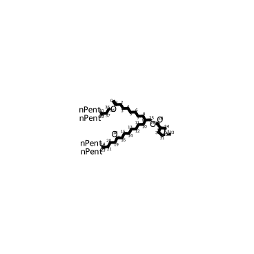 C=C(CCCCCCCC(CCCCCCCC(=O)CCCC(CCCCC)CCCCC)COC(=O)C1CCN(C)C1)OCCC(CCCCC)CCCCC